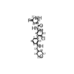 O=C(Nc1cc(-c2cccc(NCC3CCOCC3)c2)c(Cl)cn1)[C@H]1CNC[C@@H](F)C1